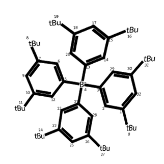 CC(C)(C)c1cc([B-](c2cc(C(C)(C)C)cc(C(C)(C)C)c2)(c2cc(C(C)(C)C)cc(C(C)(C)C)c2)c2cc(C(C)(C)C)cc(C(C)(C)C)c2)cc(C(C)(C)C)c1